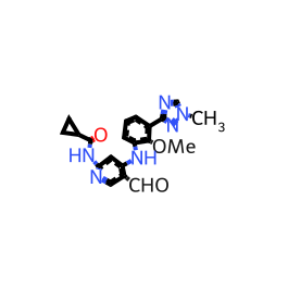 COc1c(Nc2cc(NC(=O)C3CC3)ncc2C=O)cccc1-c1ncn(C)n1